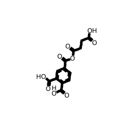 O=C(O)CCC(=O)OC(=O)c1ccc(C(=O)O)c(C(=O)O)c1